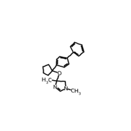 CN1C=NC(C)(OC2(c3ccc(-c4ccccc4)cc3)CCCC2)C1